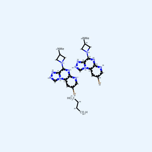 CNC1CN(c2nc3ncc(Br)cc3n3cnnc23)C1.CNC1CN(c2nc3ncc(Br)cc3n3cnnc23)C1.O=C(O)CCC(=O)O